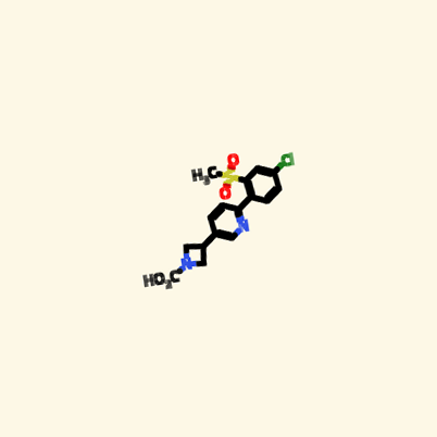 CS(=O)(=O)c1cc(Cl)ccc1-c1ccc(C2CN(C(=O)O)C2)cn1